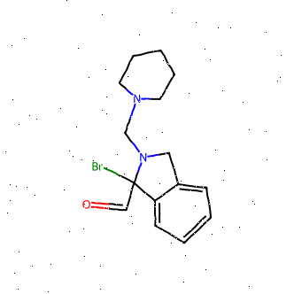 O=CC1(Br)c2ccccc2CN1CN1CCCCC1